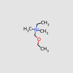 CCOC[N+](C)(C)CC